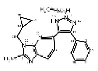 CS(=O)(=O)O.Nc1nc2ccc(-c3[nH]nnc3-c3ccccc3)nc2n1CC1CC1